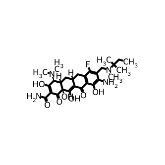 CCC(C)(C)N(C)Cc1c(N)c(O)c2c(c1F)C[C@H]1C[C@H]3[C@H](N(C)C)C(O)=C(C(N)=O)C(=O)[C@@]3(O)C(O)=C1C2=O